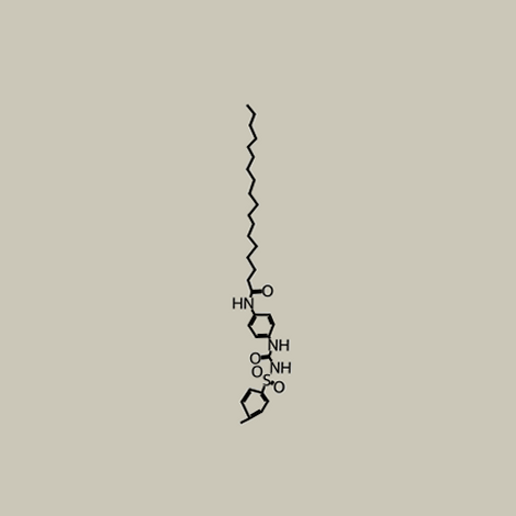 CCCCCCCCCCCCCCCCCC(=O)Nc1ccc(NC(=O)NS(=O)(=O)c2ccc(C)cc2)cc1